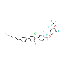 CCCCCCc1ccc(-c2cc(F)c(-c3ccc(C(F)(F)Oc4cc(F)c(OC(F)(F)F)c(F)c4)c(F)c3)c(Cl)c2)cc1